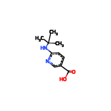 CC(C)(C)Nc1ccc(C(=O)O)cn1